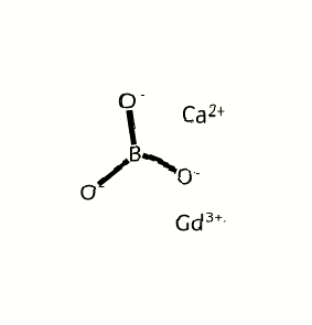 [Ca+2].[Gd+3].[O-]B([O-])[O-]